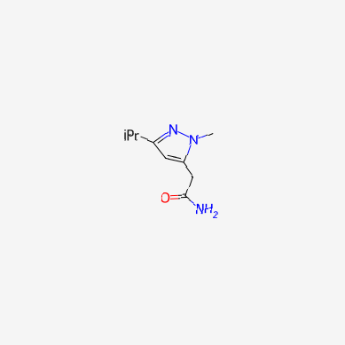 CC(C)c1cc(CC(N)=O)n(C)n1